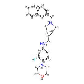 Fc1cc(NCC2C3CN(Cc4ccc5ccccc5c4)CC23)ccc1N1CCOCC1